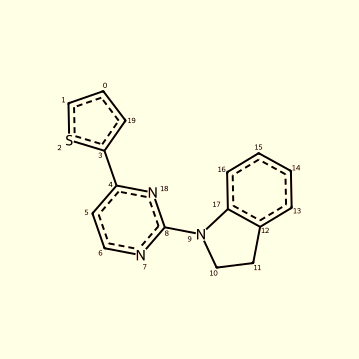 c1csc(-c2ccnc(N3CCc4ccccc43)n2)c1